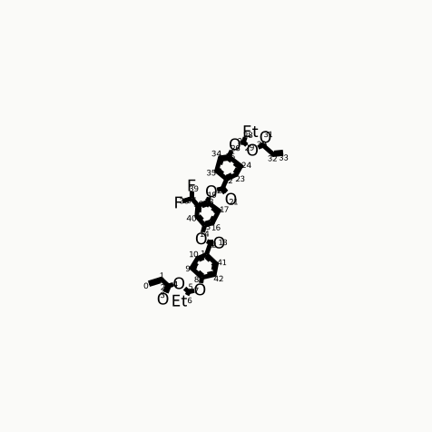 C=CC(=O)OC(CC)Oc1ccc(C(=O)Oc2ccc(OC(=O)c3ccc(OC(CC)OC(=O)C=C)cc3)c(C(F)F)c2)cc1